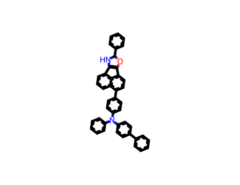 c1ccc(-c2ccc(N(c3ccccc3)c3ccc(-c4ccc5c6c(cccc46)C4=C5OC(c5ccccc5)N4)cc3)cc2)cc1